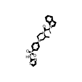 CC1CN(c2ccc(S(=O)(=O)Nc3nccs3)cc2)CCN1C(=O)[C@H](C)n1ccc2ccccc21